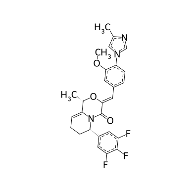 COc1cc(C=C2O[C@@H](C)C3=CCC[C@@H](c4cc(F)c(F)c(F)c4)N3C2=O)ccc1-n1cnc(C)c1